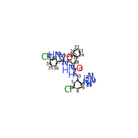 O=C(/C=C/c1cc(Cl)ccc1-n1cnnn1)NC(Cc1ccccc1)C(=O)Nc1n[nH]c2c(Cl)cccc12